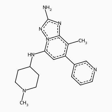 Cc1c(-c2cccnc2)cc(NC2CCN(C)CC2)n2nc(N)nc12